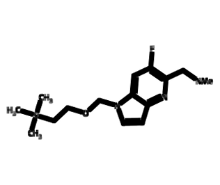 CNCc1nc2ccn(COCC[Si](C)(C)C)c2cc1F